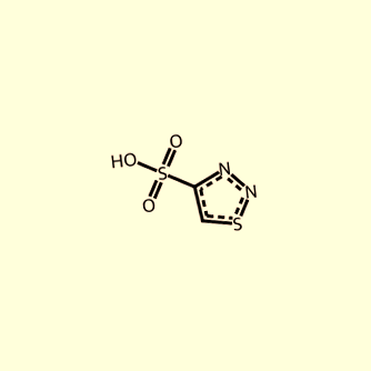 O=S(=O)(O)c1csnn1